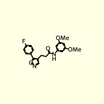 COc1cc(NC(=O)CCc2cnoc2-c2ccc(F)cc2)cc(OC)c1